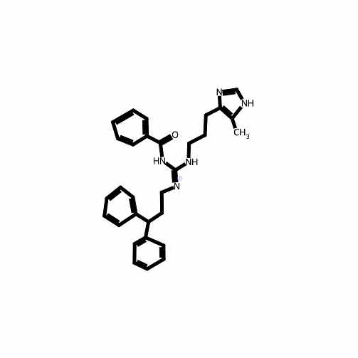 Cc1[nH]cnc1CCCN/C(=N/CCC(c1ccccc1)c1ccccc1)NC(=O)c1ccccc1